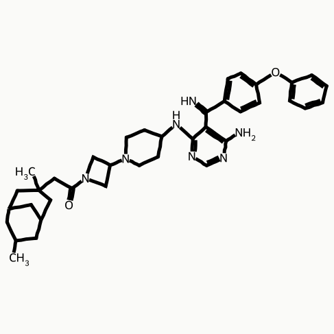 CC1CC2CC(C1)CC(C)(CC(=O)N1CC(N3CCC(Nc4ncnc(N)c4C(=N)c4ccc(Oc5ccccc5)cc4)CC3)C1)C2